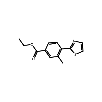 CCOC(=O)c1ccc(-c2nccs2)c(C)c1